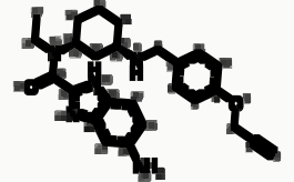 C#CCOc1ccc(CN[C@@H]2CCC[C@H](N(CC)C(=O)c3nc4cc(N)ccc4[nH]3)C2)cc1